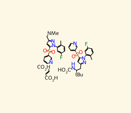 CNCc1cc(S(=O)(=O)c2cccnc2)n(-c2cc(F)ccc2C)n1.Cc1ccc(F)cc1-n1nc(CC(NC(=O)O)C(C)(C)C)cc1S(=O)(=O)c1cccnc1.O=C(O)C=CC(=O)O